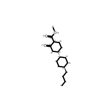 CCCC[C@H]1CC[C@H](C2CCC(C(=O)OC)C(=O)C2)CC1